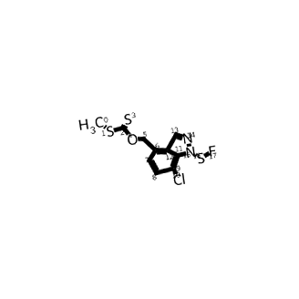 CSC(=S)OCc1ccc(Cl)c2c1cnn2SF